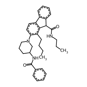 CCCCc1c(N2CCCC(NC(=O)c3ccccc3)C2)ccc2c1C(C(=O)NCCC)c1ccccc1-2